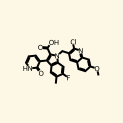 COc1ccc2cc(Cn3c(C(=O)O)c(-c4ccc[nH]c4=O)c4cc(C)c(F)cc43)c(Cl)nc2c1